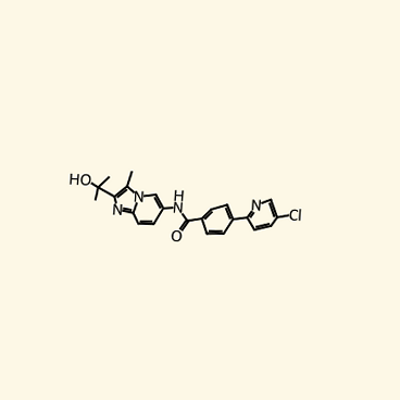 Cc1c(C(C)(C)O)nc2ccc(NC(=O)c3ccc(-c4ccc(Cl)cn4)cc3)cn12